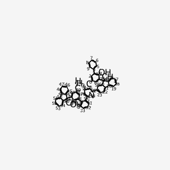 Cc1cc(-c2ccccc2)c(O)c(C2(C)c3ccccc3-c3ccc(-c4cccc(-c5ccccc5-c5cc(C)cc(C6(C)c7ccccc7-c7ccccc76)c5O)n4)cc32)c1